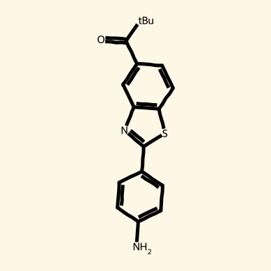 CC(C)(C)C(=O)c1ccc2sc(-c3ccc(N)cc3)nc2c1